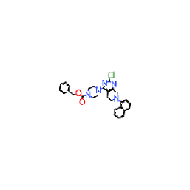 O=C(OCc1ccccc1)N1CCN(c2nc(Cl)nc3c2CCN(c2cccc4ccccc24)C3)CC1